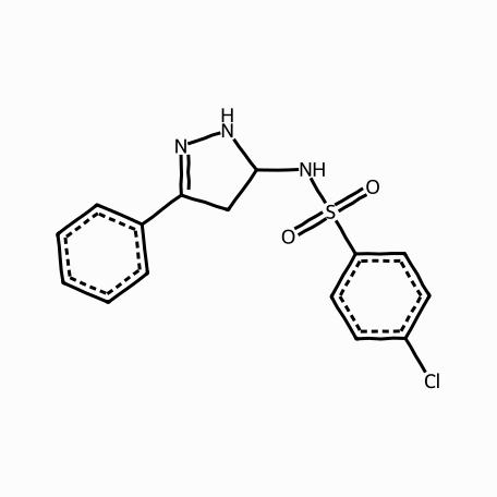 O=S(=O)(NC1CC(c2ccccc2)=NN1)c1ccc(Cl)cc1